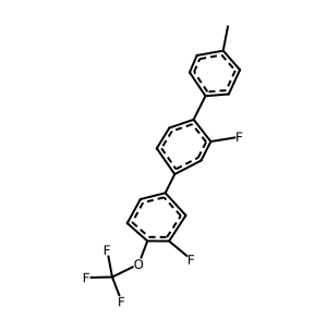 Cc1ccc(-c2ccc(-c3ccc(OC(F)(F)F)c(F)c3)cc2F)cc1